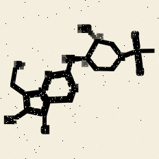 CC(C)Cc1c(C#N)c(Cl)c2cnc(N[C@@H]3CCN(S(C)(=O)=O)C[C@H]3O)nn12